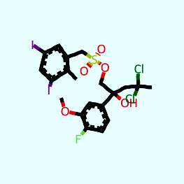 COc1cc(C(O)(COS(=O)(=O)Cc2cc(I)cc(I)c2C)CC(C)(Cl)Cl)ccc1F